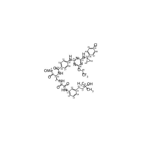 COC(=O)[C@H](CNC(=O)C(=O)Nc1cccc(CCC(C)(C)O)c1)NC(=O)c1ccc(Nc2nc(NC3(c4ccc(Cl)cc4)CC3)nc(OCC(F)(F)F)n2)cc1